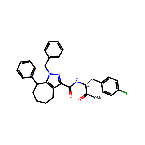 COC(=O)[C@@H](Cc1ccc(F)cc1)NC(=O)c1nn(Cc2ccccc2)c2c1CCCCC2c1ccccc1